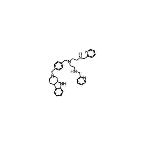 c1ccc(CNCCN(CCNCc2ccccn2)Cc2ccc(CN3CCC4c5ccccc5NC4C3)cc2)nc1